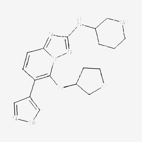 c1n[nH]cc1-c1ccc2nc(NC3CCCNC3)nn2c1OC1CCOC1